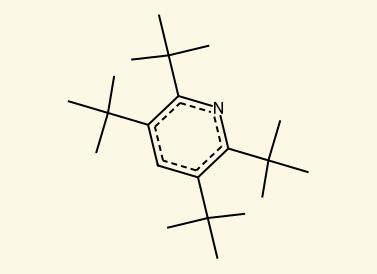 CC(C)(C)c1cc(C(C)(C)C)c(C(C)(C)C)nc1C(C)(C)C